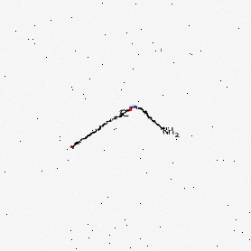 CCCCCCCCCCCCCCCCCCCCCCCCCC/C=C\CCCCCCCCCCCCN